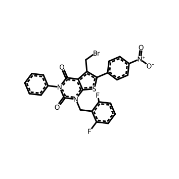 O=c1c2c(CBr)c(-c3ccc([N+](=O)[O-])cc3)sc2n(Cc2c(F)cccc2F)c(=O)n1-c1ccccc1